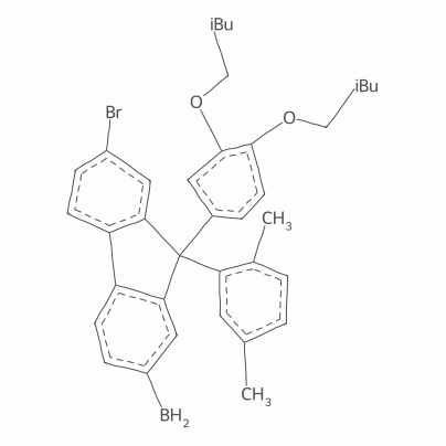 Bc1ccc2c(c1)C(c1ccc(OCC(C)CC)c(OCC(C)CC)c1)(c1cc(C)ccc1C)c1cc(Br)ccc1-2